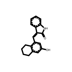 O=C1Nc2ccccc2/C1=C/c1cc(O)cc2c1CCCC2